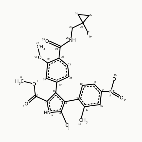 COC(=O)c1[nH]c(Cl)c(-c2ccc([N+](=O)[O-])cc2C)c1-c1ccc(C(=O)NCC2(F)CC2)c(OC)c1